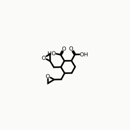 O=C(O)C1CCC(CC2CO2)C(CC2CO2)C1C(=O)O